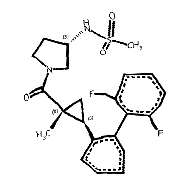 C[C@@]1(C(=O)N2CC[C@H](NS(C)(=O)=O)C2)C[C@H]1c1ccccc1-c1c(F)cccc1F